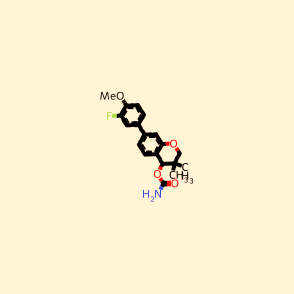 COc1ccc(-c2ccc3c(c2)OCC(C)(C)C3OC(N)=O)cc1F